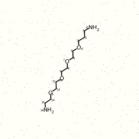 NCCCOCCOCCOCCOCCN